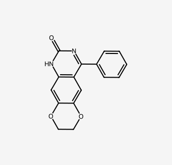 O=c1nc(-c2ccccc2)c2cc3c(cc2[nH]1)OCCO3